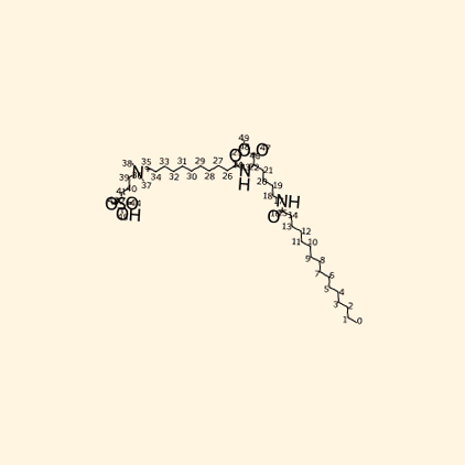 CCCCCCCCCCCCCCCC(=O)NCCCCC(NC(=O)CCCCCCCCCC[N+](C)(C)CCCS(=O)(=O)O)C(=O)OC